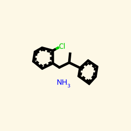 CC(Cc1ccccc1Cl)c1ccccc1.N